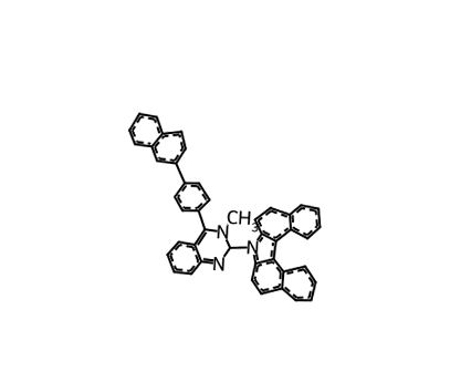 CN1C(c2ccc(-c3ccc4ccccc4c3)cc2)=c2ccccc2=NC1n1c2ccc3ccccc3c2c2c3ccccc3ccc21